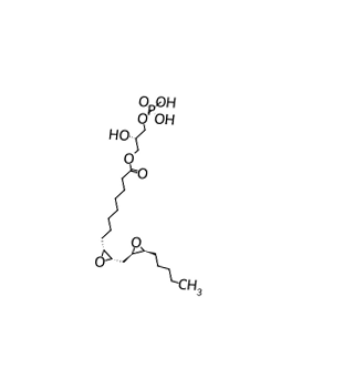 CCCCC[C@@H]1O[C@@H]1C[C@@H]1O[C@@H]1CCCCCCCC(=O)OC[C@H](O)COP(=O)(O)O